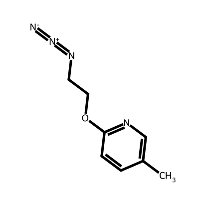 Cc1ccc(OCCN=[N+]=[N-])nc1